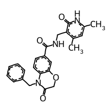 Cc1cc(C)c(CNC(=O)c2ccc3c(c2)OCC(=O)N3Cc2ccccc2)c(=O)[nH]1